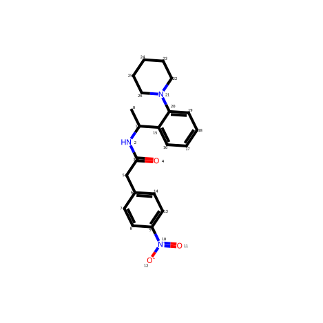 CC(NC(=O)Cc1ccc([N+](=O)[O-])cc1)c1ccccc1N1CCCCC1